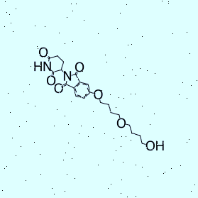 O=C1CCC(N2C(=O)c3ccc(OCCCCOCCCCO)cc3C2=O)C(=O)N1